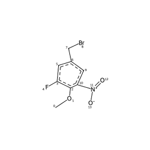 COc1c(F)cc(CBr)cc1[N+](=O)[O-]